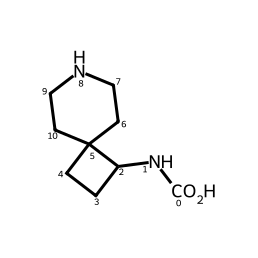 O=C(O)NC1CCC12CCNCC2